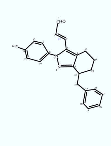 O=C/C=C/c1c2c(nn1-c1ccc(F)cc1)C(Cc1ccccc1)CCC2